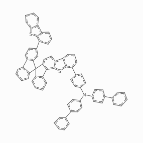 c1ccc(-c2ccc(N(c3ccc(-c4ccccc4)cc3)c3ccc(-c4cccc5c4sc4c6c(ccc45)C4(c5ccccc5-c5ccc(-c7cccc8c7sc7ccccc78)cc54)c4ccccc4-6)cc3)cc2)cc1